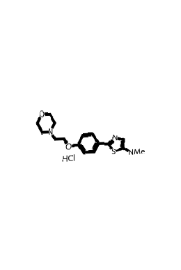 CNc1cnc(-c2ccc(OCCN3CCOCC3)cc2)s1.Cl